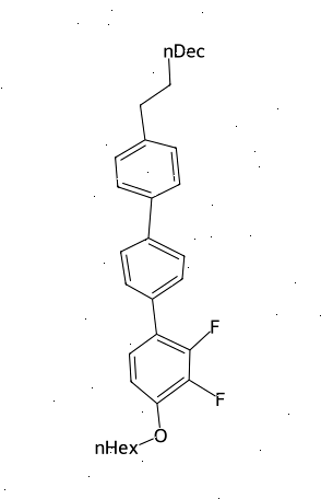 CCCCCCCCCCCCc1ccc(-c2ccc(-c3ccc(OCCCCCC)c(F)c3F)cc2)cc1